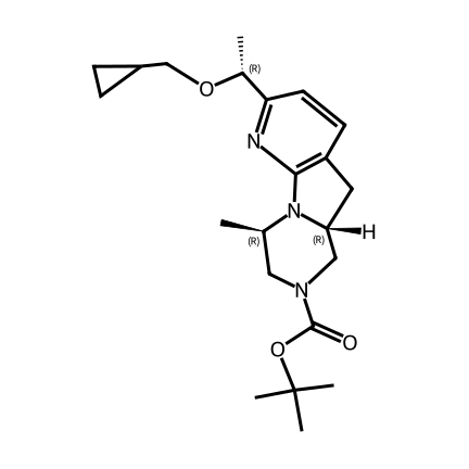 C[C@@H]1CN(C(=O)OC(C)(C)C)C[C@H]2Cc3ccc([C@@H](C)OCC4CC4)nc3N21